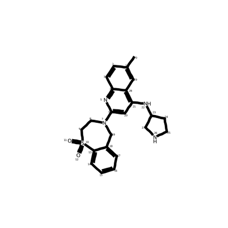 Cc1ccc2nc(N3CCS(=O)(=O)c4ccccc4C3)cc(NC3CCNC3)c2c1